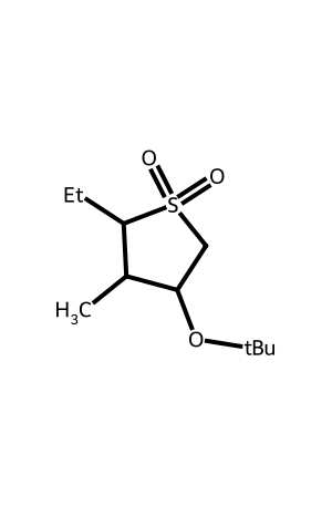 CCC1C(C)C(OC(C)(C)C)CS1(=O)=O